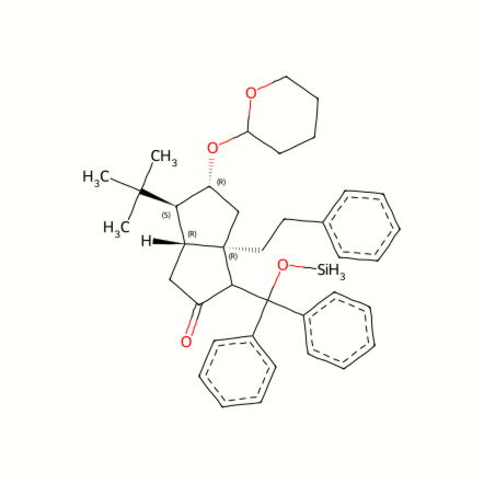 CC(C)(C)[C@@H]1[C@H]2CC(=O)C(C(O[SiH3])(c3ccccc3)c3ccccc3)[C@]2(CCc2ccccc2)C[C@H]1OC1CCCCO1